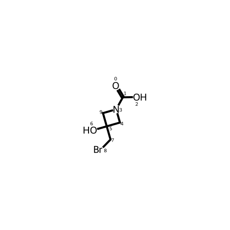 O=C(O)N1CC(O)(CBr)C1